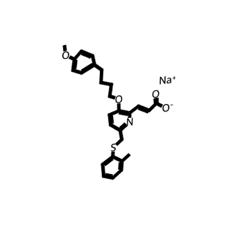 COc1ccc(CCCCOc2ccc(CSc3ccccc3C)nc2/C=C/C(=O)[O-])cc1.[Na+]